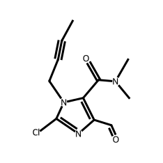 CC#CCn1c(Cl)nc(C=O)c1C(=O)N(C)C